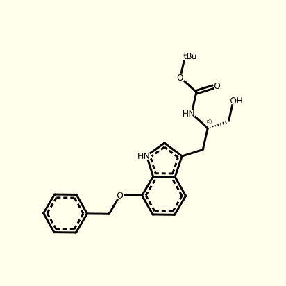 CC(C)(C)OC(=O)N[C@H](CO)Cc1c[nH]c2c(OCc3ccccc3)cccc12